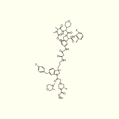 CC1COCCN1C[C@H]1CN(C(=O)OC(C)(C)C)[C@H](C)CN1CC(=O)N1CC(C)(CCCNC(=O)CC(=O)Nc2ccc3c(c2)C(C(=O)Nc2c(F)cccc2F)N(C(=O)C(NC(=O)C(C)N(C)C(=O)OC(C)(C)C)C2CCOCC2)C3)c2ccc(Cc3ccc(F)cc3)cc21